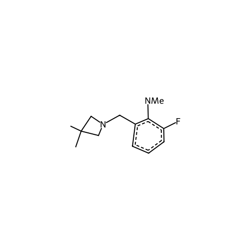 CNc1c(F)cccc1CN1CC(C)(C)C1